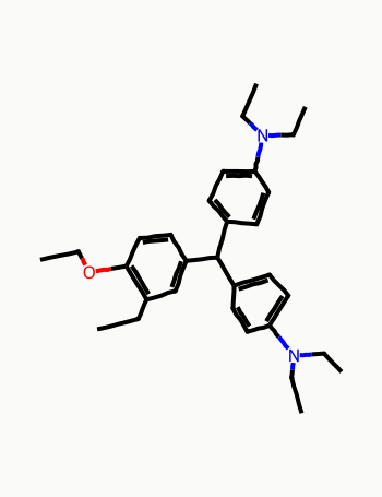 CCOc1ccc(C(c2ccc(N(CC)CC)cc2)c2ccc(N(CC)CC)cc2)cc1CC